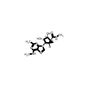 CNC(=O)[C@@]12C[C@@H]1[C@@H](n1cnc3c(NC)nc(C)nc31)[C@H](O)[C@@H]2O